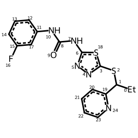 CCC(Sc1nnc(NC(=O)Nc2cccc(F)c2)s1)c1ccccn1